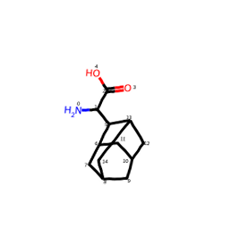 NC(C(=O)O)C1C2CC3CC(C2)CC1C3